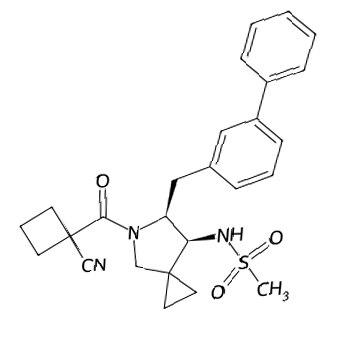 CS(=O)(=O)N[C@@H]1[C@H](Cc2cccc(-c3ccccc3)c2)N(C(=O)C2(C#N)CCC2)CC12CC2